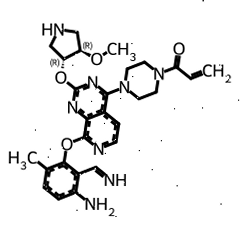 C=CC(=O)N1CCN(c2nc(O[C@@H]3CNC[C@H]3OC)nc3c(Oc4c(C)ccc(N)c4C=N)nccc23)CC1